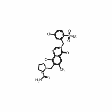 CCS(=O)(=O)c1ccc(Cl)cc1Cn1cnc2c(Cl)c(CN3CCC[C@@H]3C(N)=O)c(C(F)(F)F)cc2c1=O